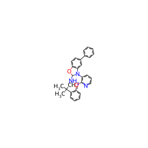 CC(C)(C)c1ccccc1Oc1ncccc1N1c2cc(-c3ccccc3)ccc2OC1N